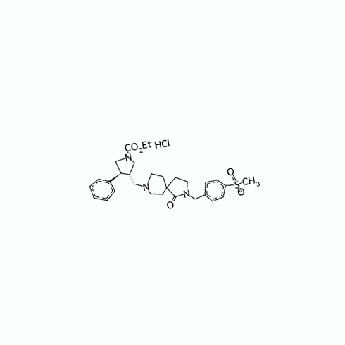 CCOC(=O)N1C[C@H](CN2CCC3(CC2)CCN(Cc2ccc(S(C)(=O)=O)cc2)C3=O)[C@@H](c2ccccc2)C1.Cl